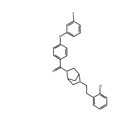 O=C(c1ccc(Oc2cccc(F)c2)cc1)N1CC2CC1CN2CCc1ccccc1Cl